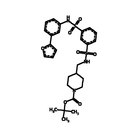 CC(C)(C)OC(=O)N1CCC(CNS(=O)(=O)c2cccc(S(=O)(=O)Nc3cccc(-c4ccco4)c3)c2)CC1